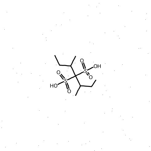 CCC(C)C(C(C)CC)(S(=O)(=O)O)S(=O)(=O)O